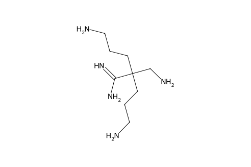 N=C(N)C(CN)(CCCN)CCCN